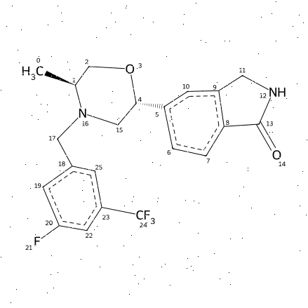 C[C@H]1CO[C@H](c2ccc3c(c2)CNC3=O)CN1Cc1cc(F)cc(C(F)(F)F)c1